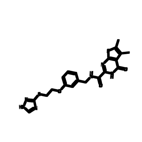 Cc1sc2nc(C(=O)NCc3cccc(OCCSc4nc[nH]n4)c3)[nH]c(=O)c2c1C